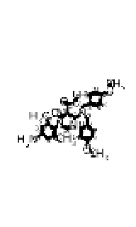 COC(=O)c1c(N(Cc2ccc(OC)cc2)Cc2ccc(OC)cc2)ncn(-c2c(C)cc(N)cc2C)c1=O